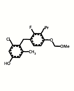 COCOc1ccc(Cc2c(C)cc(O)cc2Cl)c(F)c1C(C)C